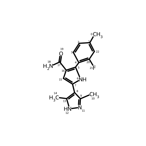 Cc1ccc(-c2[nH]c(-c3c(C)n[nH]c3C)cc2C(N)=O)c(F)c1